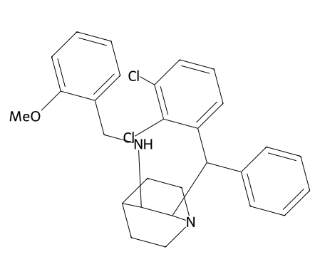 COc1ccccc1CNC1C2CCN(CC2)C1C(c1ccccc1)c1cccc(Cl)c1Cl